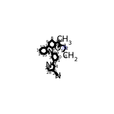 C=C/C=C\c1oc2c(ccc3c4ccccc4n(-c4cccc(-c5cc(C#N)ccn5)c4)c32)c1C